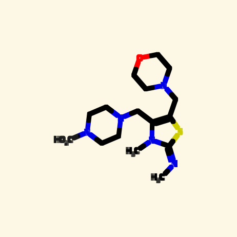 CN=c1sc(CN2CCOCC2)c(CN2CCN(C(=O)O)CC2)n1C